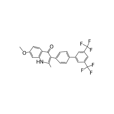 COc1ccc2c(=O)c(-c3ccc(-c4cc(C(F)(F)F)cc(C(F)(F)F)c4)cc3)c(C)[nH]c2c1